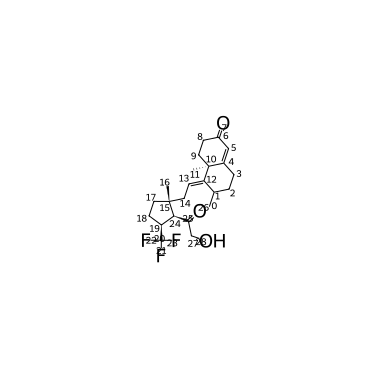 CC1CCC2=CC(=O)CC[C@]2(C)/C1=C/C[C@@]1(C)CC[C@H](C(F)(F)F)[C@@H]1C(=O)CO